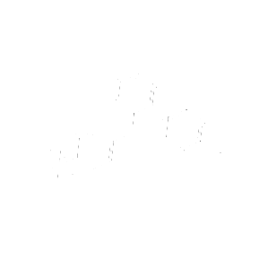 Oc1ncc(-c2nccnc2Oc2ccc(S(F)(F)(F)(F)F)cc2)cn1